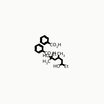 CCC(O)CC(C)CC(C)(O)CC.O=C(O)c1ccccc1.O=C(O)c1ccccc1